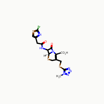 Cn1nnnc1SCC1=C(C(=O)O)N2C(=O)C(NC(=O)Cc3csc(Br)n3)[C@@H]2SC1